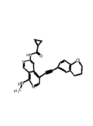 CNc1ncc(C#Cc2ccc3c(c2)CCCO3)c2cc(NC(=O)C3CC3)ncc12